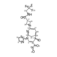 O=NC(=O)C1=CN(c2nccs2)C2=NC(N3CC(C(=O)NCC(F)(F)F)C3)=CC=C(C2)C1=O